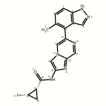 Cc1ccc2[nH]ncc2c1-c1cn2cc(NC(=O)[C@@H]3C[C@@H]3F)nc2cn1